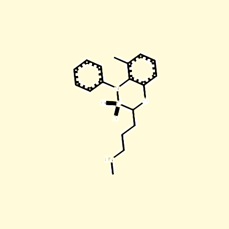 CNCCCC1Oc2cccc(C)c2N(c2ccccc2)S1(=O)=O